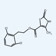 Cc1[nH]c(=O)sc1C(=O)OCCc1c(Cl)cccc1Cl